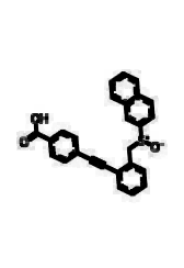 O=C(O)c1ccc(C#Cc2ccccc2C[S+]([O-])c2ccc3ccccc3c2)cc1